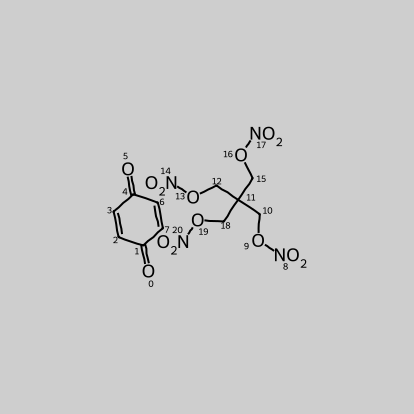 O=C1C=CC(=O)C=C1.O=[N+]([O-])OCC(CO[N+](=O)[O-])(CO[N+](=O)[O-])CO[N+](=O)[O-]